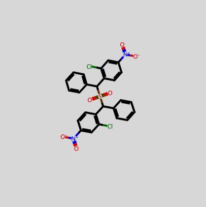 O=[N+]([O-])c1ccc(C(c2ccccc2)S(=O)(=O)C(c2ccccc2)c2ccc([N+](=O)[O-])cc2Cl)c(Cl)c1